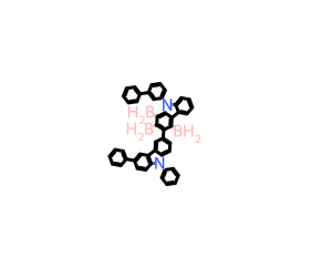 Bc1c(-c2ccc3c(c2)c2cc(-c4ccccc4)ccc2n3-c2ccccc2)c(B)c2c3ccccc3n(-c3cccc(-c4ccccc4)c3)c2c1B